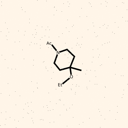 CCOC1(C)CCN(C(C)=O)CC1